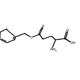 NC(CCC(=O)OCC1=CC=CCC1)C(=O)O